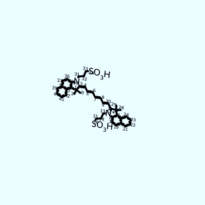 CC1(C)C(=CC=CC=CC=CC2=[N+](CCCS(=O)(=O)O)c3ccc4ccccc4c3C2(C)C)N(CCCS(=O)(=O)O)c2ccc3ccccc3c21